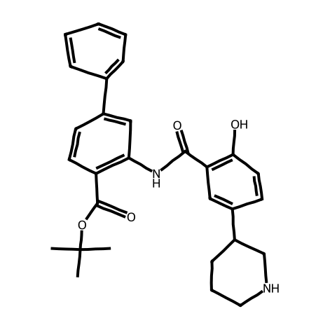 CC(C)(C)OC(=O)c1ccc(-c2ccccc2)cc1NC(=O)c1cc(C2CCCNC2)ccc1O